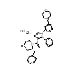 Cl.Cl.O=C(c1ncn(-c2cccc(N3CCOCC3)c2)c1-c1ccccc1)N1CCNC[C@H]1Cc1ccccc1